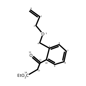 C=CCOCc1ccccc1C(=O)CC(=O)OCC